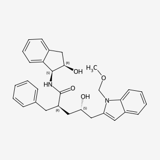 COCn1c(C[C@@H](O)C[C@@H](Cc2ccccc2)C(=O)N[C@H]2c3ccccc3C[C@H]2O)cc2ccccc21